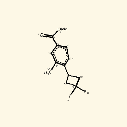 COC(=O)c1cnc(C2CC(F)(F)C2)c(C)c1